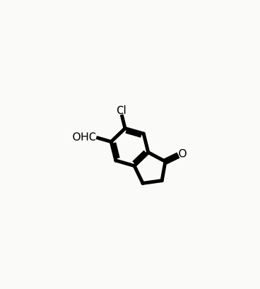 O=Cc1cc2c(cc1Cl)C(=O)CC2